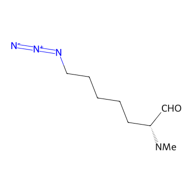 CN[C@@H](C=O)CCCCCN=[N+]=[N-]